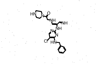 N=C/C(=C\NCC(=O)N1CCNCC1)Nc1ncc(Cl)c(NCc2ccccc2)n1